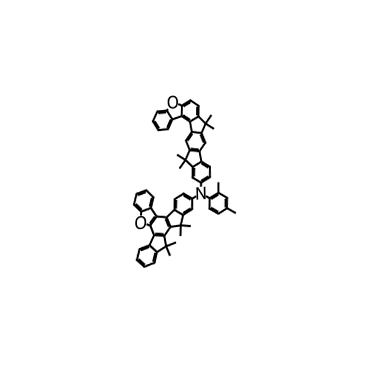 Cc1ccc(N(c2ccc3c(c2)C(C)(C)c2cc4c(cc2-3)C(C)(C)c2ccc3oc5ccccc5c3c2-4)c2ccc3c(c2)C(C)(C)c2c4c(c5oc6ccccc6c5c2-3)-c2ccccc2C4(C)C)c(C)c1